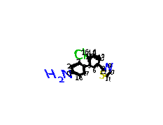 Nc1ccc(-c2cc(-c3nccs3)ccc2Cl)cc1